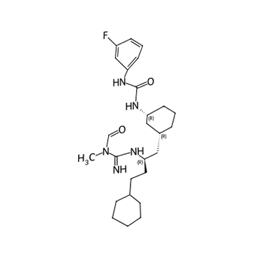 CN(C=O)C(=N)N[C@H](CCC1CCCCC1)C[C@H]1CCC[C@@H](NC(=O)Nc2cccc(F)c2)C1